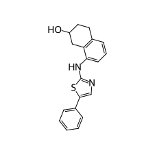 OC1CCc2cccc(Nc3ncc(-c4ccccc4)s3)c2C1